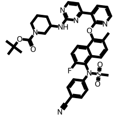 Cc1ccc2c(N(c3ccc(C#N)cc3)S(C)(=O)=O)c(F)ccc2c1Oc1ncccc1-c1ccnc(NC2CCCN(C(=O)OC(C)(C)C)C2)n1